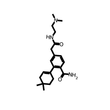 CN(C)CCNC(=O)Cc1ccc(C(N)=O)c(C2=CCC(C)(C)CC2)c1